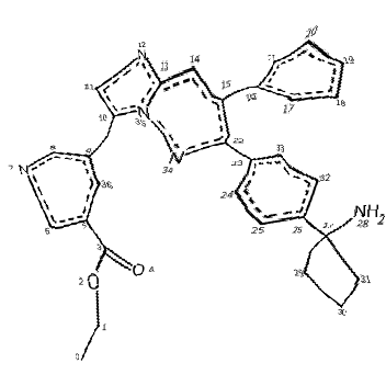 CCOC(=O)c1cncc(-c2cnc3cc(-c4ccccc4)c(-c4ccc(C5(N)CCC5)cc4)nn23)c1